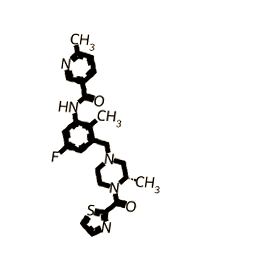 Cc1ccc(C(=O)Nc2cc(F)cc(CN3CCN(C(=O)c4nccs4)[C@@H](C)C3)c2C)cn1